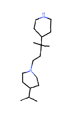 CC(C)C1CCN(CCC(C)(C)C2CCNCC2)CC1